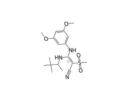 COc1cc(N/C(NC(C)C(C)(C)C)=C(/C#N)S(C)(=O)=O)cc(OC)c1